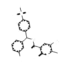 Cc1[nH]c(=O)c(C(=O)NC(c2ccc(S(C)(=O)=O)cc2)c2cccc(C(F)(F)F)c2)cc1C#N